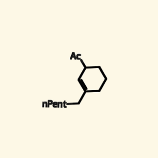 CCCCCCC1=CC(C(C)=O)CCC1